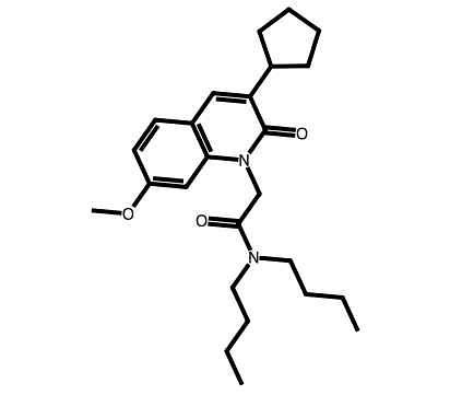 CCCCN(CCCC)C(=O)Cn1c(=O)c(C2CCCC2)cc2ccc(OC)cc21